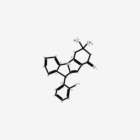 CC1(C)CC(=O)c2cc3n(c2C1)-c1ccccc1C3c1ccccc1F